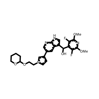 COc1nc(OC)c(F)c(C(O)c2c[nH]c3ncc(-c4ccn(CCOC5CCCCO5)c4)cc23)c1F